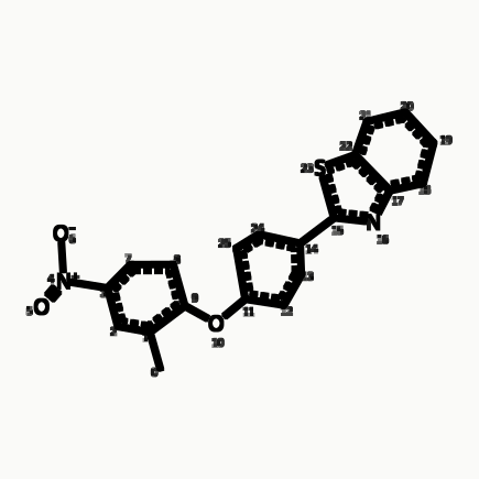 Cc1cc([N+](=O)[O-])ccc1Oc1ccc(-c2nc3ccccc3s2)cc1